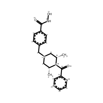 C[C@@H]1CN(Cc2ccc(C(=O)NO)cc2)C[C@H](C)N1C(=O)c1cnccn1